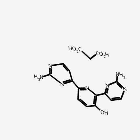 Nc1nccc(-c2ccc(O)c(-c3ccnc(N)n3)n2)n1.O=C(O)CC(=O)O